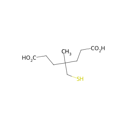 CC(CS)(CCC(=O)O)CCC(=O)O